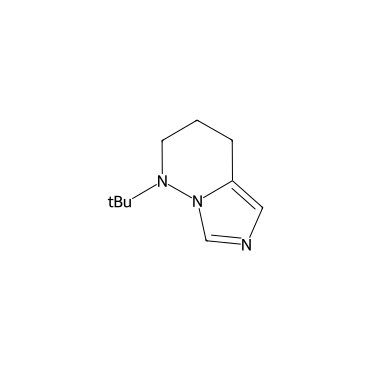 CC(C)(C)N1CCCc2cncn21